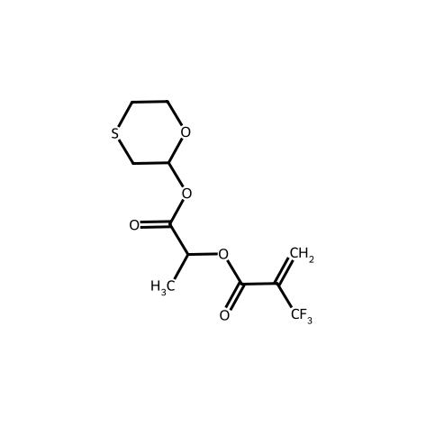 C=C(C(=O)OC(C)C(=O)OC1CSCCO1)C(F)(F)F